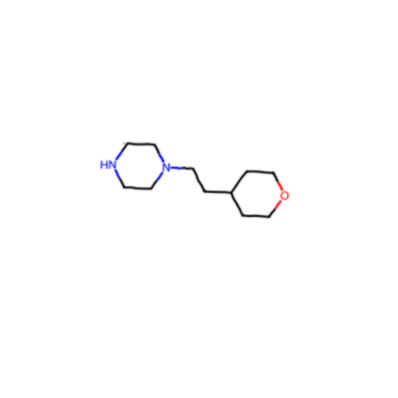 [CH]1CN(CCC2CCOCC2)CCN1